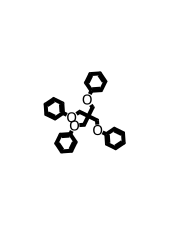 c1ccc(OCC(COc2ccccc2)(COc2ccccc2)COc2ccccc2)cc1